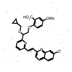 COc1ccc(OCC(OCC2CC2)c2cccc(/C=C/c3ccc4ccc(Cl)cc4n3)n2)c(C(=O)O)c1